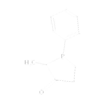 CC1C(=O)CCP1c1ccccc1